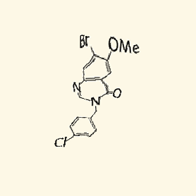 COc1cc2c(=O)n(Cc3ccc(Cl)cc3)cnc2cc1Br